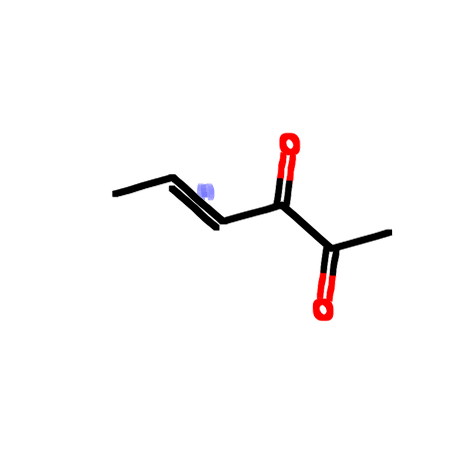 C/C=C/C(=O)C(C)=O